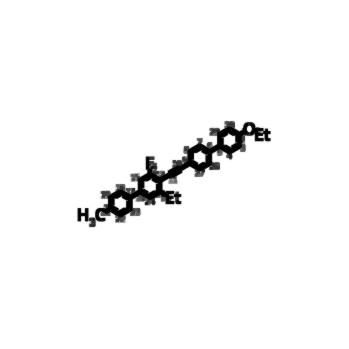 CCOc1ccc(-c2ccc(C#Cc3c(F)cc(-c4ccc(C)cc4)cc3CC)cc2)cc1